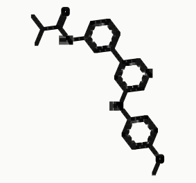 COc1ccc(Nc2cncc(-c3cccc(NC(=O)C(C)C)c3)c2)cc1